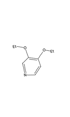 CCOc1ccncc1OCC